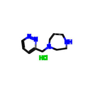 Cl.c1cnnc(CN2CCCNCC2)c1